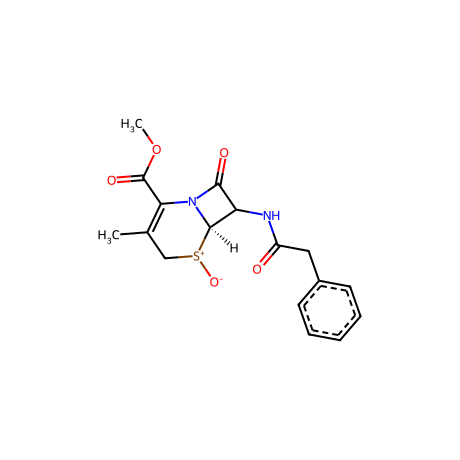 COC(=O)C1=C(C)C[S+]([O-])[C@@H]2C(NC(=O)Cc3ccccc3)C(=O)N12